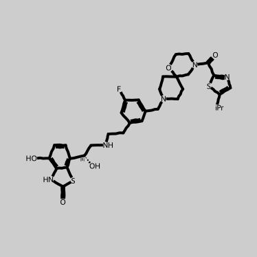 CC(C)c1cnc(C(=O)N2CCOC3(CCN(Cc4cc(F)cc(CCNC[C@H](O)c5ccc(O)c6[nH]c(=O)sc56)c4)CC3)C2)s1